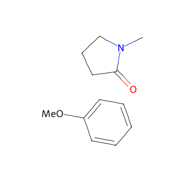 CN1CCCC1=O.COc1ccccc1